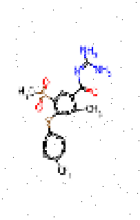 Cc1cc(Sc2ccc(C(F)(F)F)cc2)c(S(C)(=O)=O)cc1C(=O)N=C(N)N